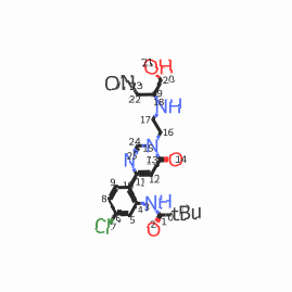 CC(C)(C)C(=O)Nc1cc(Cl)ccc1-c1cc(=O)n(CCNC(CO)CN=O)cn1